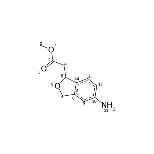 COC(=O)CC1OCc2cc(N)ccc21